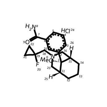 CO[C@@]1(c2cccc(C(N)=O)c2)[C@@H]2CCC[C@H]1CN(CC1(F)CC1)C2.Cl